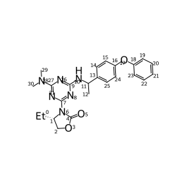 CC[C@H]1COC(=O)N1c1nc(NC(C)c2ccc(Oc3ccccc3)cc2)nc(N(C)C)n1